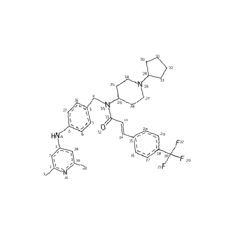 Cc1cc(Nc2ccc(CN(C(=O)/C=C/c3ccc(C(F)(F)F)cc3)C3CCN(C4CCCC4)CC3)cc2)cc(C)n1